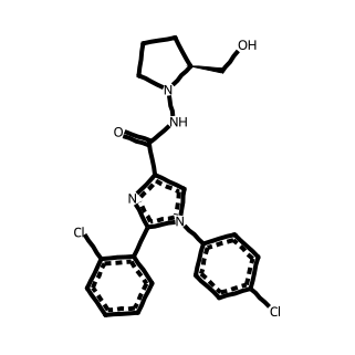 O=C(NN1CCC[C@H]1CO)c1cn(-c2ccc(Cl)cc2)c(-c2ccccc2Cl)n1